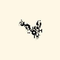 O=C(CN1CCOCC1)Nc1cc(C(=O)Nc2ccc(-c3cncnc3)nn2)ccc1OC(F)(F)F